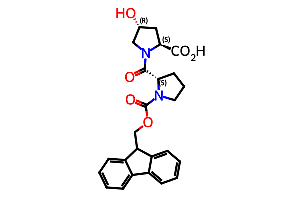 O=C(O)[C@@H]1C[C@@H](O)CN1C(=O)[C@@H]1CCCN1C(=O)OCC1c2ccccc2-c2ccccc21